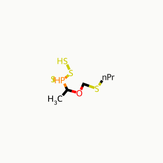 CCCSCOC(C)[PH](=S)SS